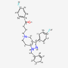 O=C(CCCN1CCc2c(c(-c3ccc(F)cc3)nn2Cc2ccccc2)C1)c1ccc(F)cc1